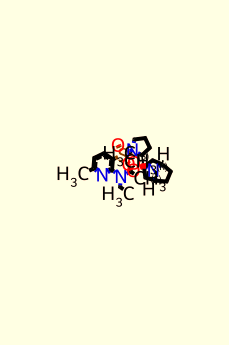 CCN(c1nc(C)ccc1S(=O)(=O)N1CCC[C@H]1C(=O)N1[C@@H]2CC[C@H]1CC(OC)C2)C(C)C